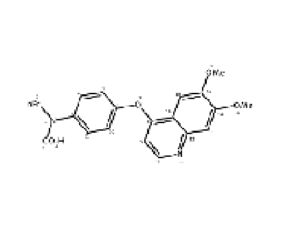 CCCN(C(=O)O)c1ccc(Oc2ccnc3cc(OC)c(OC)cc23)cc1